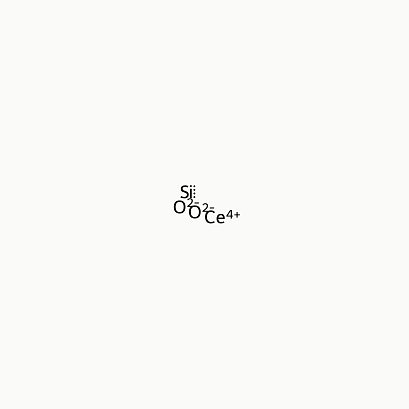 [Ce+4].[O-2].[O-2].[Si]